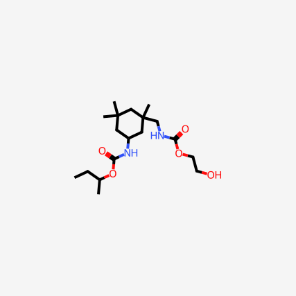 CCC(C)OC(=O)NC1CC(C)(C)CC(C)(CNC(=O)OCCO)C1